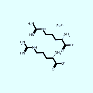 N=C(N)NCCC[C@H](N)C(=O)[O-].N=C(N)NCCC[C@H](N)C(=O)[O-].[Pb+2]